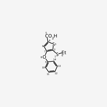 CCSc1sc(C(=O)O)cc1Oc1ccccc1